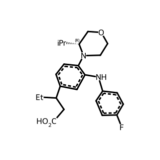 CCC(CC(=O)O)c1ccc(N2CCOC[C@H]2C(C)C)c(Nc2ccc(F)cc2)c1